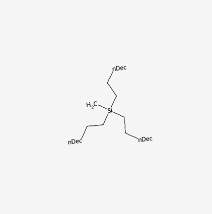 [CH2][Si](CCCCCCCCCCCC)(CCCCCCCCCCCC)CCCCCCCCCCCC